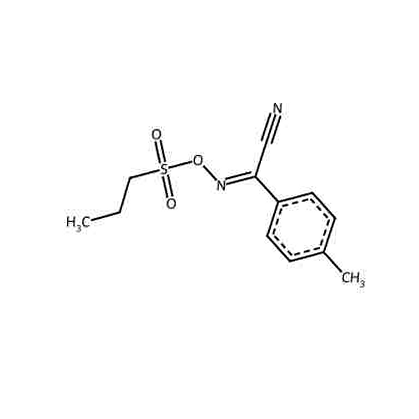 CCCS(=O)(=O)ON=C(C#N)c1ccc(C)cc1